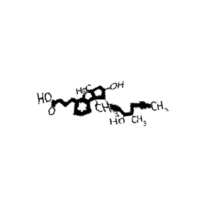 CC#CC[C@H](C)[C@H](O)/C=C/[C@H]1[C@H](O)C[C@]2(C)Oc3c(CCCC(=O)O)cccc3[C@]12C